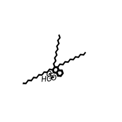 CCCCCCCCCCCc1c(CCCCCCCCCCC)c(S(=O)(=O)O)c2ccccc2c1CCCCCCCCCCC